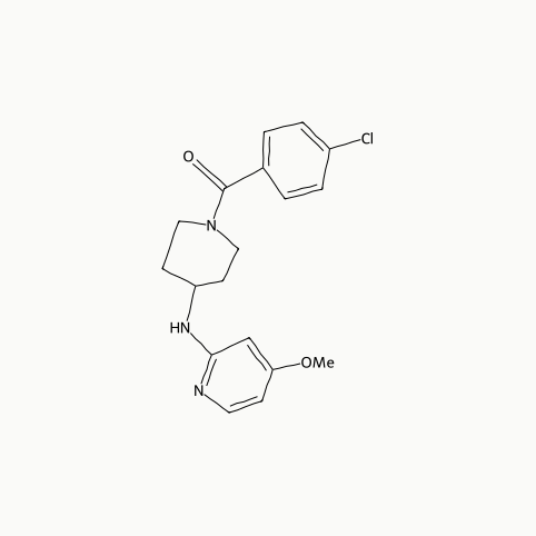 COc1ccnc(NC2CCN(C(=O)c3ccc(Cl)cc3)CC2)c1